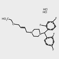 Cl.Cl.O=C(O)COCC=CCN1CCN(C(c2ccc(F)cc2F)c2ccc(F)cc2F)CC1